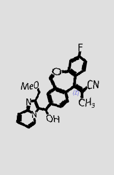 COCc1nc2ccccn2c1C(O)c1ccc2c(c1)COc1cc(F)ccc1/C2=C(/C)C#N